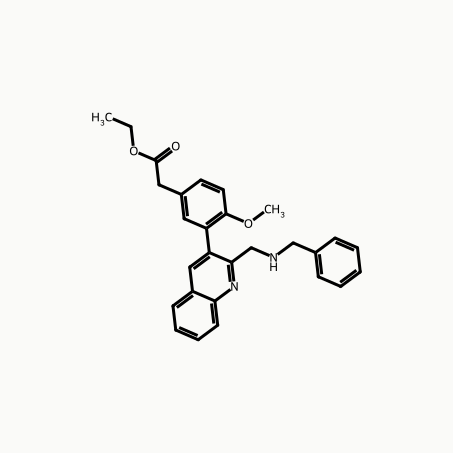 CCOC(=O)Cc1ccc(OC)c(-c2cc3ccccc3nc2CNCc2ccccc2)c1